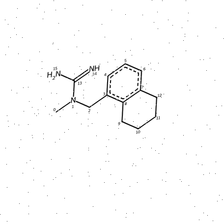 CN(Cc1cccc2c1CCCC2)C(=N)N